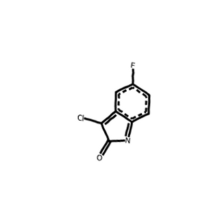 O=C1N=c2ccc(F)cc2=C1Cl